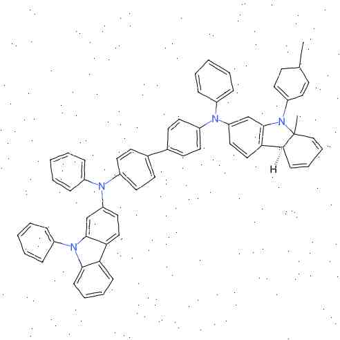 CC1C=CC(N2c3cc(N(c4ccccc4)c4ccc(-c5ccc(N(c6ccccc6)c6ccc7c8ccccc8n(-c8ccccc8)c7c6)cc5)cc4)ccc3[C@@H]3C=CC=CC32C)=CC1